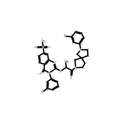 CCCCC(Sc1nc2cc(S(C)(=O)=O)ccc2c(=O)n1-c1cccc(Cl)c1)C(=O)N1CCC2(CCN(c3cccc(Cl)c3)C2)C1